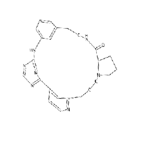 O=C1NCCc2cccc(c2)Nc2ncnc(n2)-c2ccnc(c2)CCCN2CCCC12